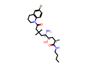 CCCCNC(=O)[C@H](C)C[C@H](O)[C@@H](N)CC(C)(C)CC(=O)N1CCCc2cc(Br)ccc21